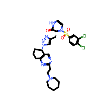 O=C1NC=CN(S(=O)(=O)c2ccc(Cl)c(Cl)c2)[C@@H]1Cc1cn([C@@H]2CCCc3nc(CCN4CCCCCC4)ncc32)nn1